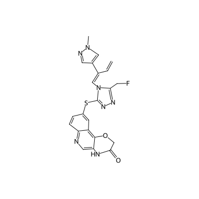 C=C/C(=C\n1c(CF)nnc1Sc1ccc2ncc3c(c2c1)OCC(=O)N3)c1cnn(C)c1